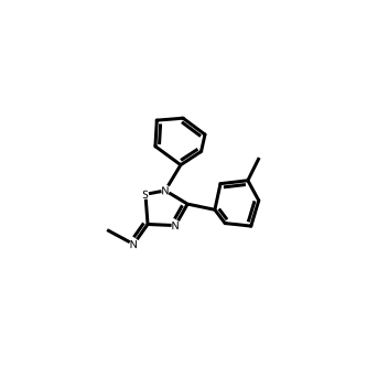 CN=c1nc(-c2cccc(C)c2)n(-c2ccccc2)s1